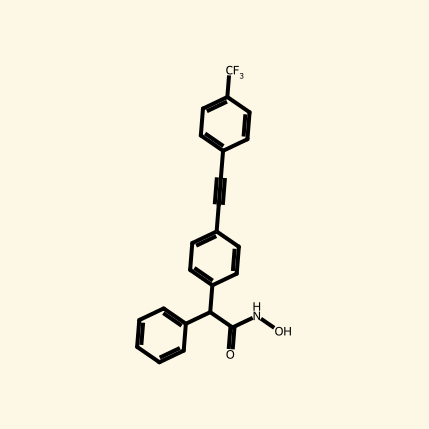 O=C(NO)C(c1ccccc1)c1ccc(C#Cc2ccc(C(F)(F)F)cc2)cc1